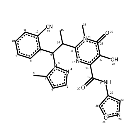 Cc1ccnn1C(c1ccccc1C#N)C(C)c1nc(C(=O)Nc2cnoc2)c(O)c(=O)n1C